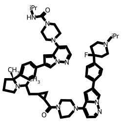 CC(C)NC(=O)N1CCN(c2ccnn3cc(-c4ccc([C@@]5(C)CCCN5C(C)CC5CC5C(=O)N5CCN(c6ccnn7cc(-c8ccc(C9(F)CCN(C(C)C)CC9)cc8)cc67)CC5)cc4)cc23)CC1